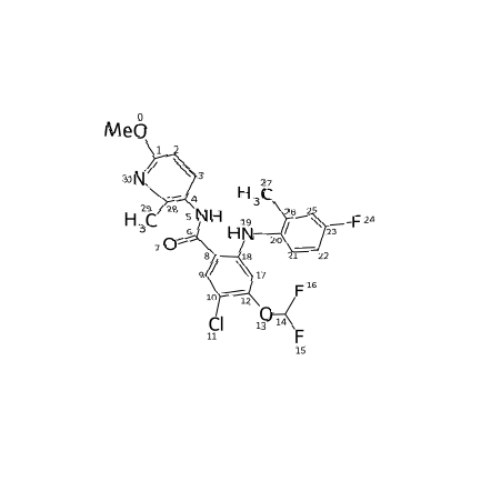 COc1ccc(NC(=O)c2cc(Cl)c(OC(F)F)cc2Nc2ccc(F)cc2C)c(C)n1